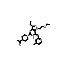 CCOCCn1nc(CC)c2nc(N3CCC(C(C)=O)CC3)[nH]/c(=N\c3cc(C)ccn3)c21